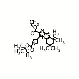 CCOC(=O)c1nc2sc3c(n2c1C1CN(C(=O)OC(C)(C)C)C1)CC(C)(C)CC3(C)C